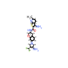 Cc1ccc2c(N)c(C(=O)N[C@H]3COc4cc(N5C[C@H](N)[C@H](C(F)F)C5)ccc4C3)sc2n1